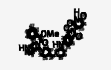 CO[C@@H](C(=O)N1Cc2[nH]n[c]c2C1N1CCC(CN2CCC[C@H](Nc3ccc4c(c3)C(=O)N(C3CCC(=O)NC3=O)C4=O)C2)CC1)c1ccccc1